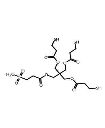 CS(=O)(=O)CCC(=O)OCC(COC(=O)CCS)(COC(=O)CCS)COC(=O)CCS